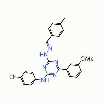 COc1cccc(-c2nc(NN=Cc3ccc(C)cc3)nc(Nc3ccc(Cl)cc3)n2)c1